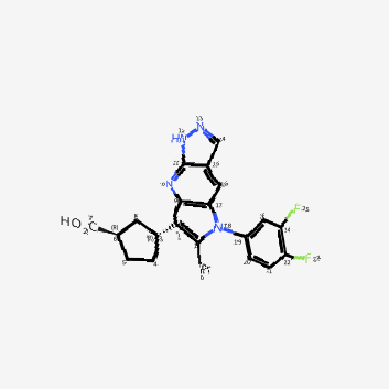 CC(C)c1c([C@@H]2CC[C@@H](C(=O)O)C2)c2nc3[nH]ncc3cc2n1-c1ccc(F)c(F)c1